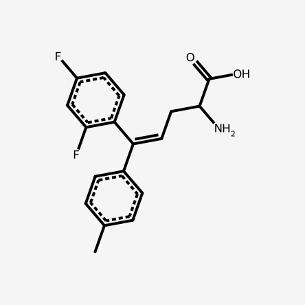 Cc1ccc(C(=CCC(N)C(=O)O)c2ccc(F)cc2F)cc1